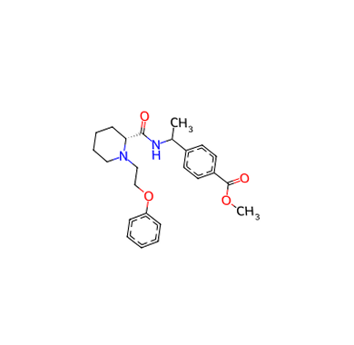 COC(=O)c1ccc(C(C)NC(=O)[C@H]2CCCCN2CCOc2ccccc2)cc1